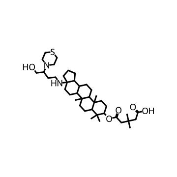 CC(C)(CC(=O)O)CC(=O)OC1CCC2(C)C(CCC3(C)C4CCC5(NCCC(CO)N6CCSCC6)CCCC5C4CCC32)C1(C)C